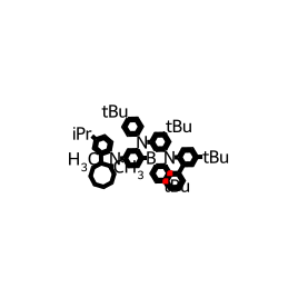 CC(C)c1ccc2c(c1)C1(C)CCCCCCC1(C)N2c1ccc2c(c1)N(c1ccc(C(C)(C)C)cc1)c1cc(C(C)(C)C)cc3c1B2c1ccc(C(C)(C)C)cc1N3c1ccc(C(C)(C)C)cc1-c1ccccc1